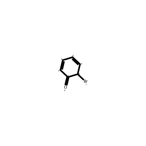 O=C1C=CC=CC1Br